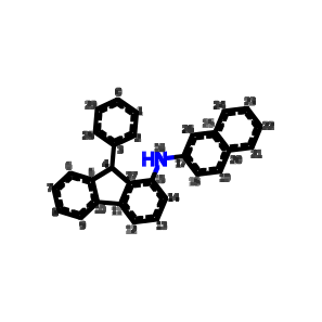 c1ccc(C2c3ccccc3-c3cccc(Nc4ccc5ccccc5c4)c32)cc1